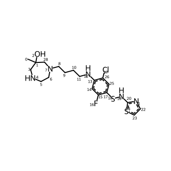 CC1(O)CNCCN(CCCCNc2cc(F)c(SNc3nccs3)cc2Cl)C1